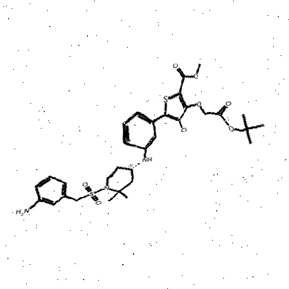 COC(=O)c1sc(-c2cccc(N[C@H]3CCN(S(=O)(=O)Cc4cccc(N)c4)C(C)(C)C3)c2)c(Cl)c1OCC(=O)OC(C)(C)C